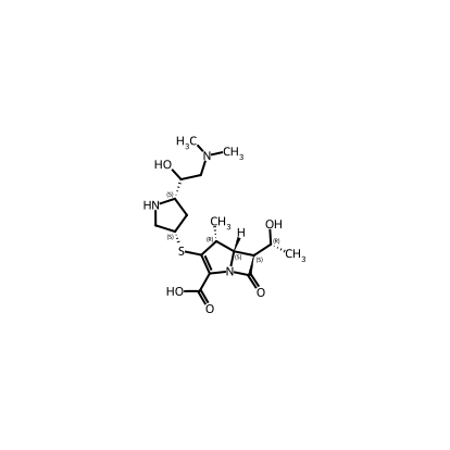 C[C@@H](O)[C@H]1C(=O)N2C(C(=O)O)=C(S[C@@H]3CN[C@H](C(O)CN(C)C)C3)[C@H](C)[C@H]12